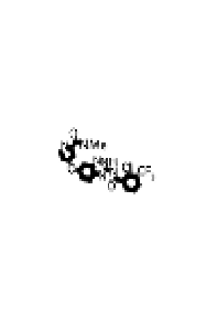 CNC(=O)c1cc(Oc2ccc3nc(NC(=O)c4cccc(C(F)(F)F)c4Cl)nnc3c2)ccn1